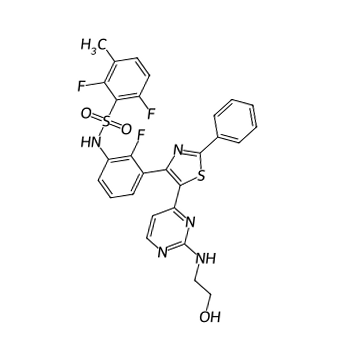 Cc1ccc(F)c(S(=O)(=O)Nc2cccc(-c3nc(-c4ccccc4)sc3-c3ccnc(NCCO)n3)c2F)c1F